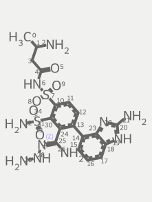 CC(N)CC(=O)NS(=O)(=O)c1ccc(-c2cccc3[nH]c(N)nc23)c(/C(N)=N/NN)c1S(N)(=O)=O